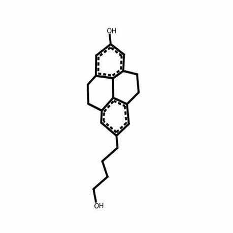 OCCCCc1cc2c3c(c1)CCc1cc(O)cc(c1-3)CC2